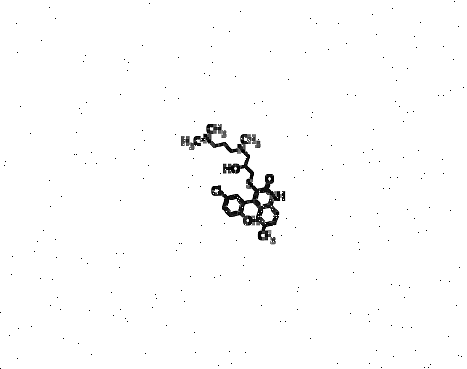 CN(C)CCCN(C)CC(O)CSc1c(-c2cc(Cl)ccc2O)c2cc(C(F)(F)F)ccc2[nH]c1=O